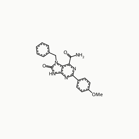 COc1ccc(-c2nc(C(N)=O)c3c(n2)[nH]c(=O)n3Cc2ccccc2)cc1